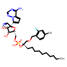 CCCCCCCCCCCCCCCCCCC[C@H](COCc1ccc(C#N)cc1F)OP(=O)(O)OC[C@H]1O[C@@](/C=N\C)(c2ccc3c(N)ncnn23)[C@H](O)[C@@H]1O